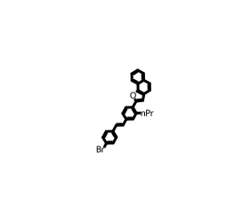 CCCc1cc(C=Cc2ccc(Br)cc2)ccc1-c1cc2ccc3ccccc3c2o1